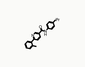 Cc1ccccc1-c1ccc(C(=O)Nc2ccc(C(C)C)cc2)cn1